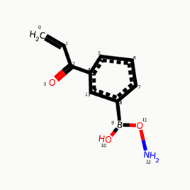 C=CC(=O)c1cccc(B(O)ON)c1